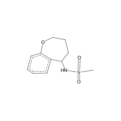 CS(=O)(=O)NC1CCCOc2ccccc21